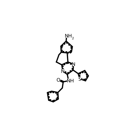 Nc1ccc2c(c1)CCc1nc(NC(=O)Cc3ccccc3)c(-c3cccs3)nc1-2